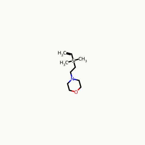 C=C[Si](C)(C)CCN1CCOCC1